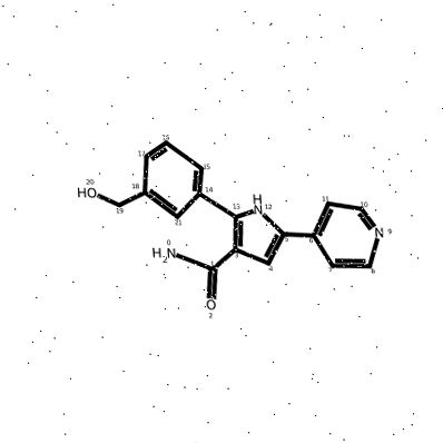 NC(=O)c1cc(-c2ccncc2)[nH]c1-c1cccc(CO)c1